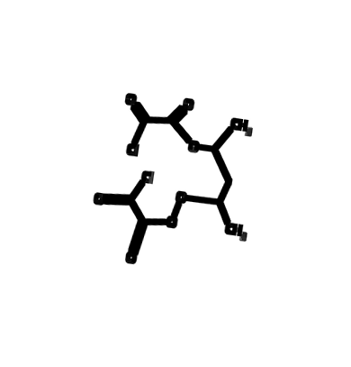 CC(CC(C)OC(=O)C(=O)Cl)OOC(=O)C(=O)Cl